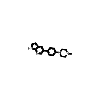 CN1CCN(c2ccc(-c3cnc4[nH]ccc4c3)cc2)CC1